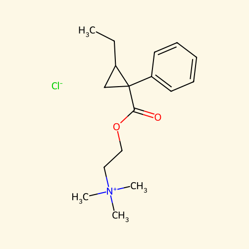 CCC1CC1(C(=O)OCC[N+](C)(C)C)c1ccccc1.[Cl-]